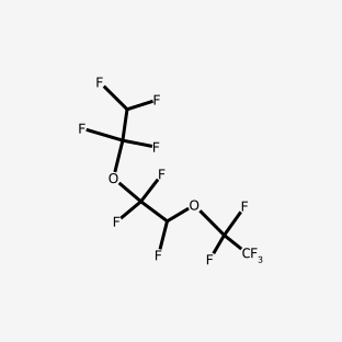 FC(F)C(F)(F)OC(F)(F)C(F)OC(F)(F)C(F)(F)F